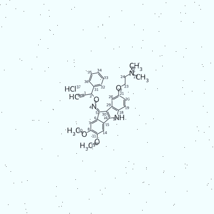 C#CC(ON=C1c2cc(OC)c(OC)cc2-c2[nH]c3ccc(OCCN(C)C)cc3c21)c1ccccc1.Cl